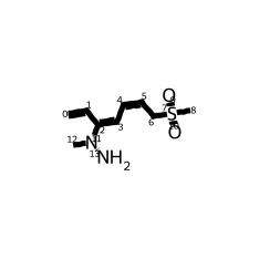 C=C/C(=C\C=C/CS(C)(=O)=O)N(C)N